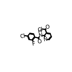 O=C(Nc1ncccc1C(=O)Cl)c1ccc(Cl)cc1F